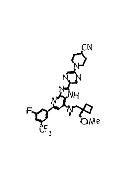 COCC1(CN(C)c2cc(-c3cc(F)cc(C(F)(F)F)c3)nc3nc(-c4cnc(N5CCC(C#N)CC5)cn4)[nH]c23)CCC1